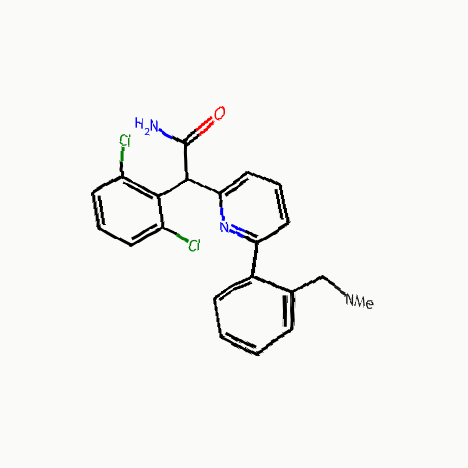 CNCc1ccccc1-c1cccc(C(C(N)=O)c2c(Cl)cccc2Cl)n1